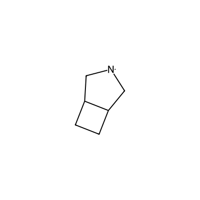 C1CC2C[N]CC12